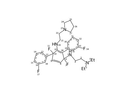 CCN(CC)CCNC1(F)C=[C]C(F)(c2cccc(F)c2)C(NCCN2CCCC2)=C1c1cccc(F)c1